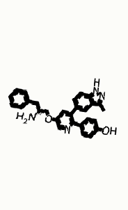 Cc1n[nH]c2ccc(-c3cc(OC[C@H](N)Cc4ccccc4)cnc3-c3ccc(O)cc3)cc12